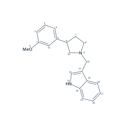 COc1cccc(C2CCN(Cc3c[nH]c4ccccc34)C2)c1